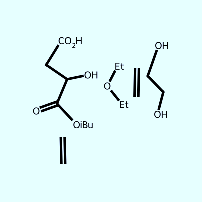 C=C.C=C.CC(C)COC(=O)C(O)CC(=O)O.CCOCC.OCCO